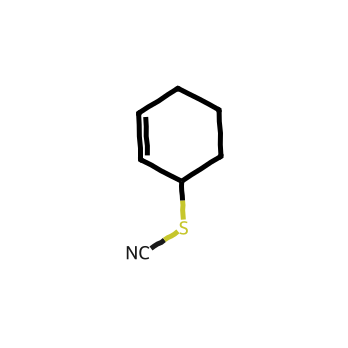 N#CSC1C=CCCC1